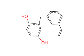 C=Cc1ccccc1.Cc1cc(O)ccc1O